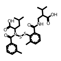 Cc1cccc(C(=O)N(SSc2c(C)cccc2C(=O)NCC(C(=O)O)C(C)C)C(CC(C)C)C(=O)O)c1